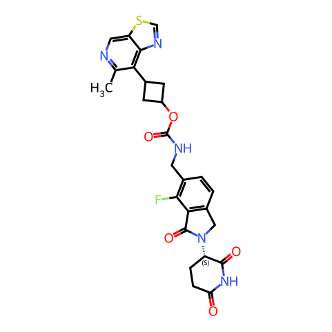 Cc1ncc2scnc2c1C1CC(OC(=O)NCc2ccc3c(c2F)C(=O)N([C@H]2CCC(=O)NC2=O)C3)C1